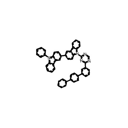 c1ccc(-c2ccc(-c3cccc(-c4ncnc(-n5c6ccccc6c6cc(-c7ccc8c(c7)c7ccccc7n8-c7ccccc7)ccc65)n4)c3)cc2)cc1